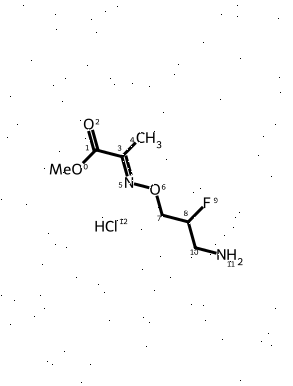 COC(=O)C(C)=NOCC(F)CN.Cl